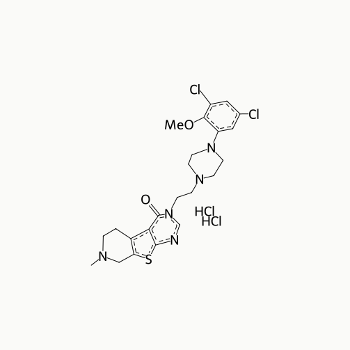 COc1c(Cl)cc(Cl)cc1N1CCN(CCn2cnc3sc4c(c3c2=O)CCN(C)C4)CC1.Cl.Cl